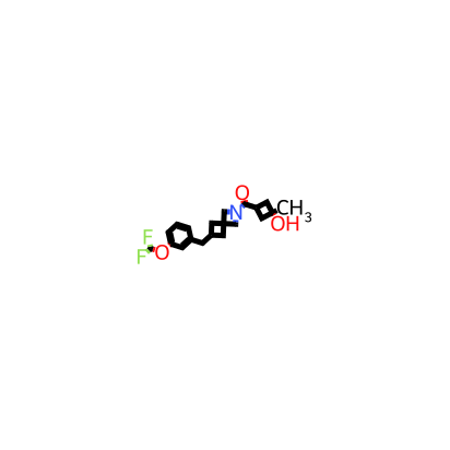 CC1(O)CC(C(=O)N2CC3(CC(Cc4cccc(OC(F)F)c4)C3)C2)C1